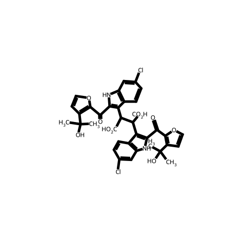 CC(C)(O)c1ccoc1C(=O)c1[nH]c2cc(Cl)ccc2c1C(C(=O)O)C(C(=O)O)c1c(C(=O)c2occc2C(C)(C)O)[nH]c2cc(Cl)ccc12